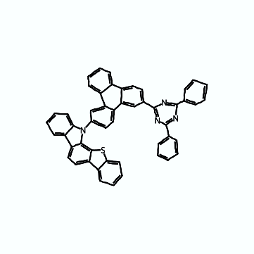 c1ccc(-c2nc(-c3ccccc3)nc(-c3ccc4c5ccccc5c5cc(-n6c7ccccc7c7ccc8c9ccccc9sc8c76)ccc5c4c3)n2)cc1